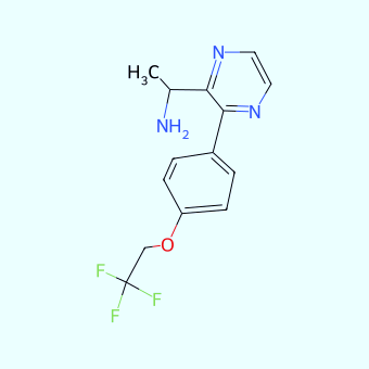 CC(N)c1nccnc1-c1ccc(OCC(F)(F)F)cc1